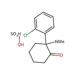 CNC1(c2ccccc2Cl)CCCCC1=O.O=S(=O)(O)O